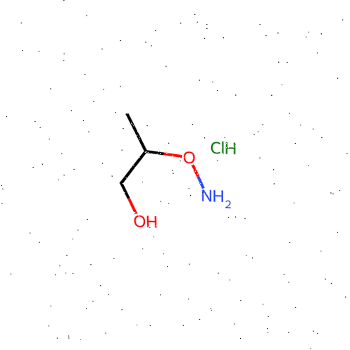 CC(CO)ON.Cl